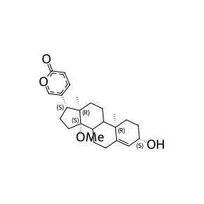 CO[C@]12CC[C@H](c3ccc(=O)oc3)[C@@]1(C)CCC1C2CCC2=C[C@@H](O)CC[C@@]21C